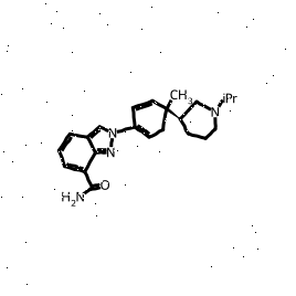 CC(C)N1CCC[C@@H](C2(C)C=CC(n3cc4cccc(C(N)=O)c4n3)=CC2)C1